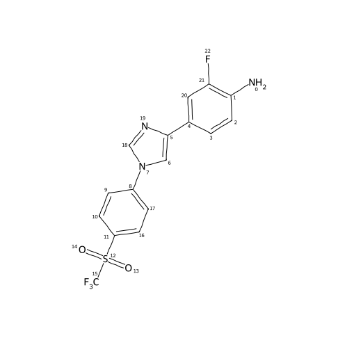 Nc1ccc(-c2cn(-c3ccc(S(=O)(=O)C(F)(F)F)cc3)cn2)cc1F